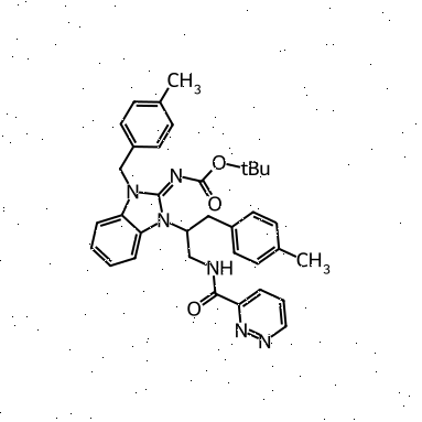 Cc1ccc(CC(CNC(=O)c2cccnn2)n2c(=NC(=O)OC(C)(C)C)n(Cc3ccc(C)cc3)c3ccccc32)cc1